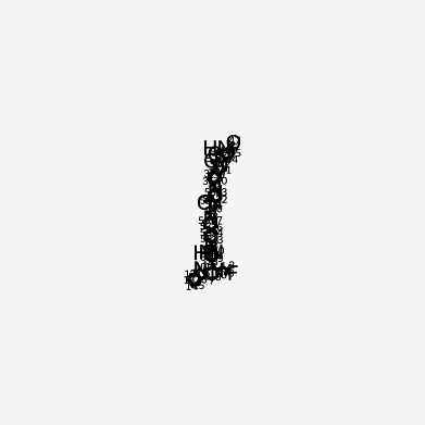 CC(C)(F)CN1CCc2c([nH]c3ccccc23)[C@H]1c1cnc(N2CCC3(CCN(CCN4CCN(c5ccc6c(c5)CN(C5CCC(=O)NC5=O)C6=O)CC4=O)CC3)CC2)nc1